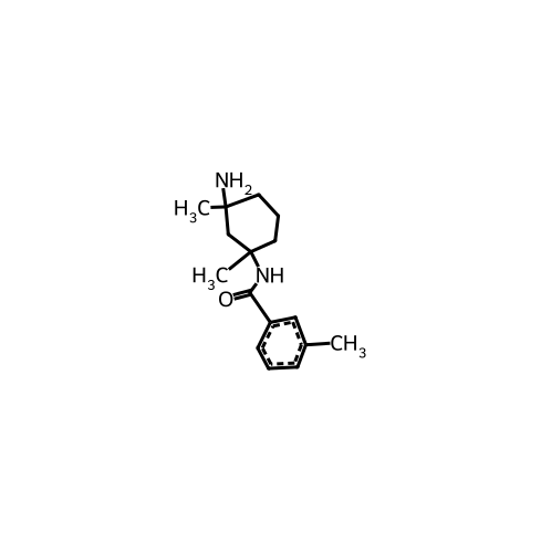 Cc1cccc(C(=O)NC2(C)CCCC(C)(N)C2)c1